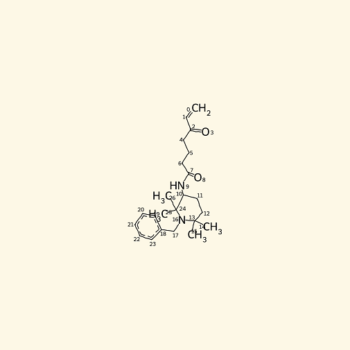 C=CC(=O)CCCC(=O)NC1CCC(C)(C)N(Cc2ccccc2)C1(C)C